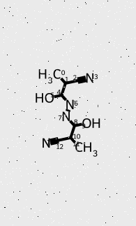 CC(C#N)C(O)/N=N/C(O)C(C)C#N